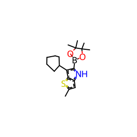 Cc1cc2[nH]c(B3OC(C)(C)C(C)(C)O3)c(C3CCCCC3)c2s1